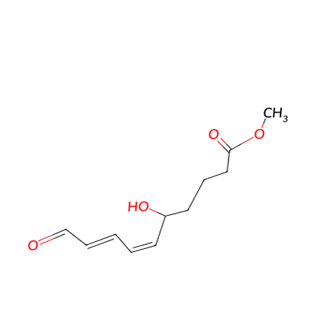 COC(=O)CCCC(O)/C=C\C=C\C=O